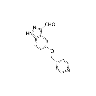 O=Cc1n[nH]c2ccc(OCc3ccncc3)cc12